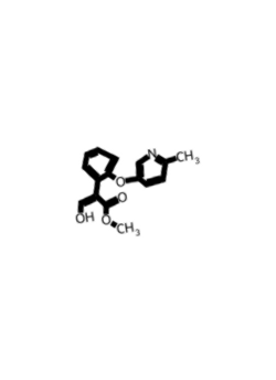 COC(=O)C(=CO)c1ccccc1Oc1ccc(C)nc1